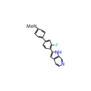 CNc1ccc(-c2ccc(-c3cc4ccncc4[nH]3)c(F)c2)cc1